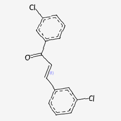 O=C(/C=C/c1cccc(Cl)c1)c1cccc(Cl)c1